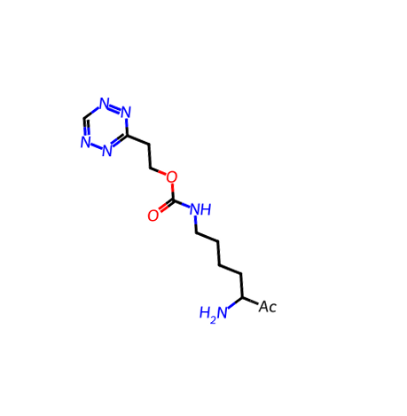 CC(=O)C(N)CCCCNC(=O)OCCc1nncnn1